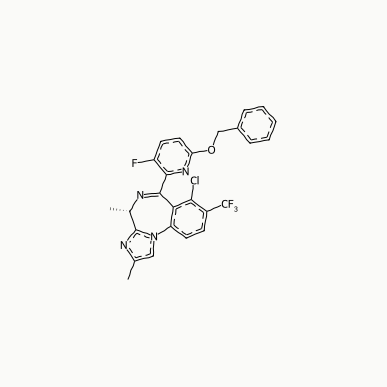 Cc1cn2c(n1)[C@H](C)N=C(c1nc(OCc3ccccc3)ccc1F)c1c-2ccc(C(F)(F)F)c1Cl